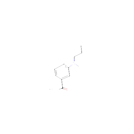 COC(=O)c1cccc(N(CCC#N)C(C)=O)c1